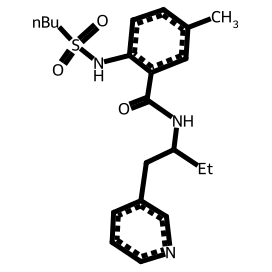 CCCCS(=O)(=O)Nc1ccc(C)cc1C(=O)NC(CC)Cc1cccnc1